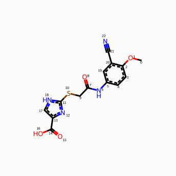 COc1ccc(NC(=O)CSc2nc(C(=O)O)c[nH]2)cc1C#N